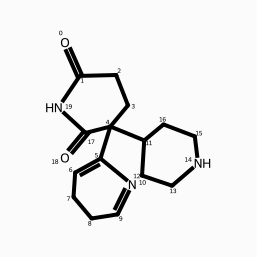 O=C1CCC(C2=CCCC=N2)(C2CCNCC2)C(=O)N1